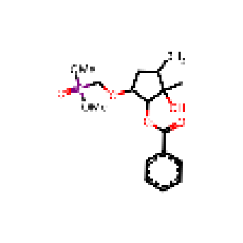 BC1CC(OCP(=O)(OC)OC)C(OC(=O)c2ccccc2)C1(C)O